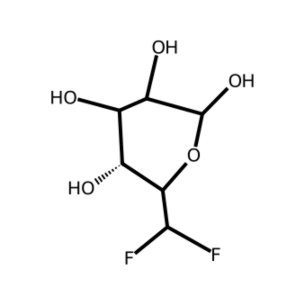 OC1OC(C(F)F)[C@H](O)C(O)C1O